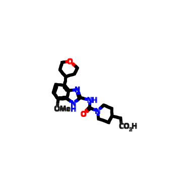 COc1ccc(C2CCOCC2)c2nc(NC(=O)N3CCC(CC(=O)O)CC3)[nH]c12